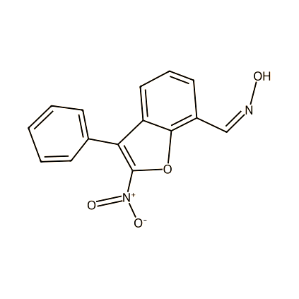 O=[N+]([O-])c1oc2c(/C=N\O)cccc2c1-c1ccccc1